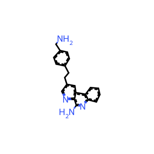 NCc1ccc(CCc2cnc3c(N)nc4ccccc4c3c2)cc1